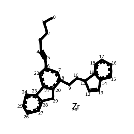 CCCCC#Cc1cc(CCC2C=Cc3ccccc32)c2c(c1)-c1ccccc1C2.[Zr]